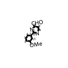 COc1cccc(-c2nccc(C=O)n2)c1